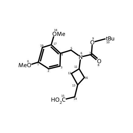 COc1ccc(CN(C(=O)OC(C)(C)C)C2CC(CC(=O)O)C2)c(OC)c1